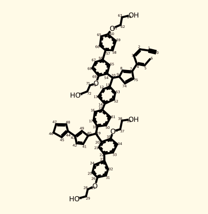 C#C/C=C\C(=C/C)C1=CC(C(c2ccc(-c3ccc(C(c4cc(-c5ccc(OCCO)cc5)ccc4OCCO)C4C=CC(C5=CCC=C5)=C4)cc3)cc2)c2cc(-c3ccc(OCCO)cc3)ccc2OCCO)C=C1